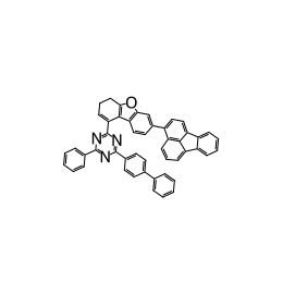 C1=C(c2nc(-c3ccccc3)nc(-c3ccc(-c4ccccc4)cc3)n2)c2c(oc3cc(-c4ccc5c6c(cccc46)-c4ccccc4-5)ccc23)CC1